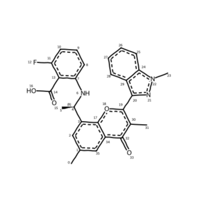 Cc1cc([C@@H](C)Nc2cccc(F)c2C(=O)O)c2oc(-c3nn(C)c4ccccc34)c(C)c(=O)c2c1